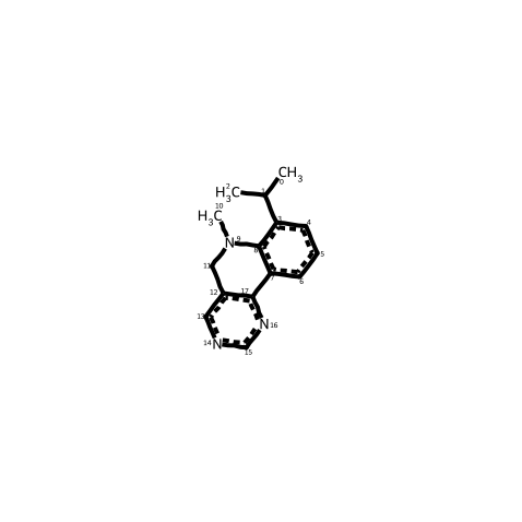 CC(C)c1cccc2c1N(C)Cc1cncnc1-2